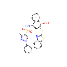 Cc1nn(-c2ccccc2)c(C)c1S(=O)(=O)Nc1cc(Sc2nc3ccccc3s2)c(O)c2ccccc12